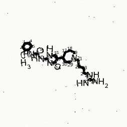 Cc1ccccc1NC(=O)Nc1nc(=O)c(C2CCCN(CCCCNC(=N)N)CC2)c[nH]1